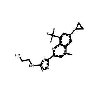 Cc1cc(-c2nnc(NCCO)o2)nc2c(C(F)(F)F)cc(C3CC3)cc12